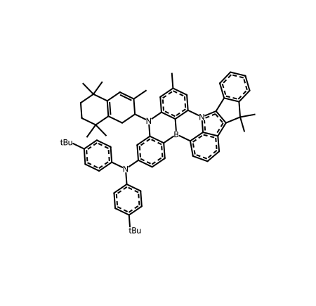 CC1=CC2=C(CC1N1c3cc(N(c4ccc(C(C)(C)C)cc4)c4ccc(C(C)(C)C)cc4)ccc3B3c4c1cc(C)cc4-n1c4c(c5cccc3c51)C(C)(C)c1ccccc1-4)C(C)(C)CCC2(C)C